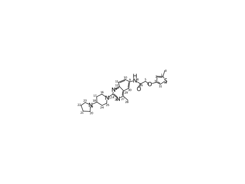 Cc1cc(OCC(=O)Nc2ccc3nc(N4CCC(N5CCCC5)CC4)nc(C)c3c2)cs1